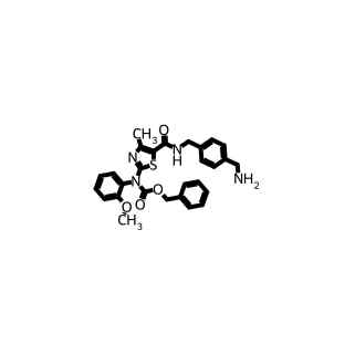 COc1ccccc1N(C(=O)OCc1ccccc1)c1nc(C)c(C(=O)NCc2ccc(CN)cc2)s1